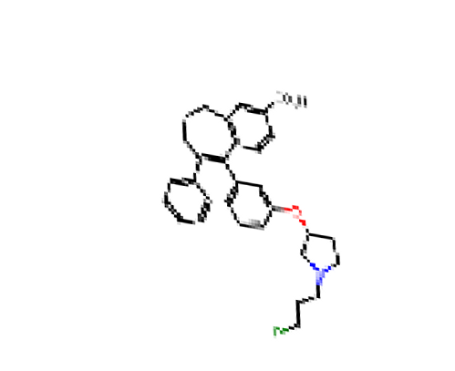 O=C(O)c1ccc2c(c1)CCCC(c1ccccc1)=C2c1cccc(O[C@H]2CCN(CCCF)C2)c1